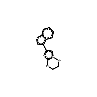 c1ccc2c(-c3cn4c(n3)NCCN4)csc2c1